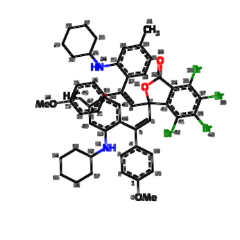 COc1ccc(C(=CC2(C=C(c3ccc(OC)cc3)c3ccc(C)cc3NC3CCCCC3)OC(=O)c3c(Br)c(Br)c(Br)c(Br)c32)c2ccc(C)cc2NC2CCCCC2)cc1